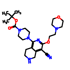 CC(C)(C)OC(=O)N1CCN(c2nc(OCCN3CCOCC3)c(C#N)c3c2CCNC3)CC1